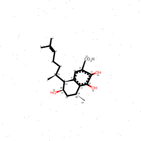 CC(C)=CCC[C@H](C)[C@H]1c2cc(C(=O)O)c(O)c(O)c2[C@H](C)C[C@H]1O